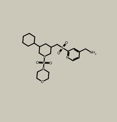 NCc1ccnc(S(=O)(=O)CC2CC(C3CCCCC3)CN(S(=O)(=O)N3CCOCC3)C2)c1